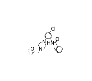 O=C(Nc1cc(Cl)ccc1N1CCN(CC2=CCCO2)CC1)c1ccccn1